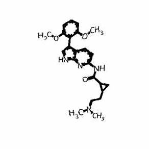 COc1cccc(OC)c1-c1c[nH]c2nc(NC(=O)C3CC3CCN(C)C)ccc12